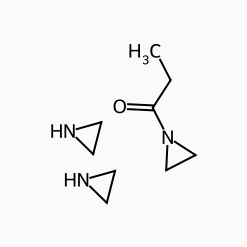 C1CN1.C1CN1.CCC(=O)N1CC1